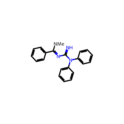 CN/C(=N\C(=N)N(c1ccccc1)c1ccccc1)c1ccccc1